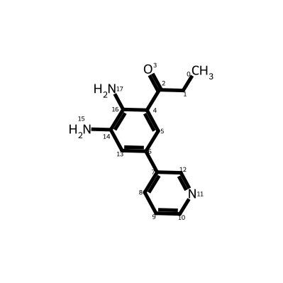 CCC(=O)c1cc(-c2cccnc2)cc(N)c1N